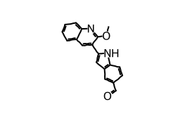 COc1nc2ccccc2cc1-c1cc2cc(C=O)ccc2[nH]1